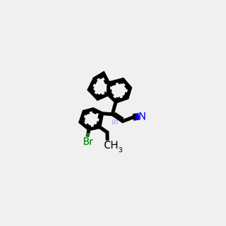 CCc1c(Br)cccc1/C(=C/C#N)c1cccc2ccccc12